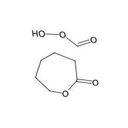 O=C1CCCCCO1.O=COO